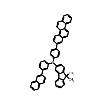 CC1(C)c2ccccc2-c2cc(N(c3ccc(-c4ccc5c(ccc6c7ccccc7ccc56)c4)cc3)c3cccc(-c4ccc5ccccc5c4)c3)ccc21